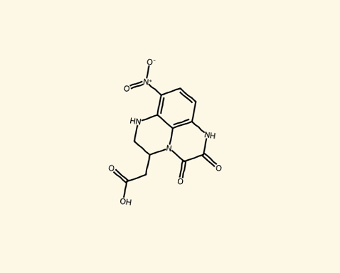 O=C(O)CC1CNc2c([N+](=O)[O-])ccc3[nH]c(=O)c(=O)n1c23